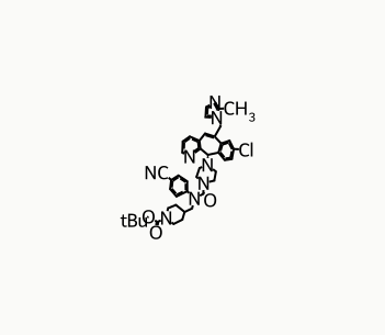 Cc1nccn1CC1=Cc2cccnc2[C@H](N2CCN(C(=O)N(CC3CCN(C(=O)OC(C)(C)C)CC3)c3ccc(C#N)cc3)CC2)c2ccc(Cl)cc21